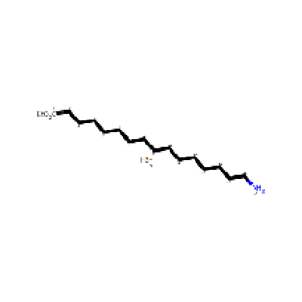 Br.CCOC(=O)CCCCCCCCCCCCCCCN